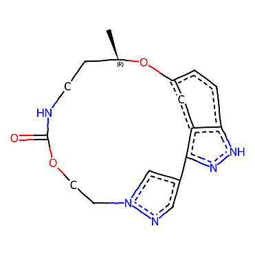 C[C@@H]1CCNC(=O)OCCn2cc(cn2)-c2n[nH]c3ccc(cc23)O1